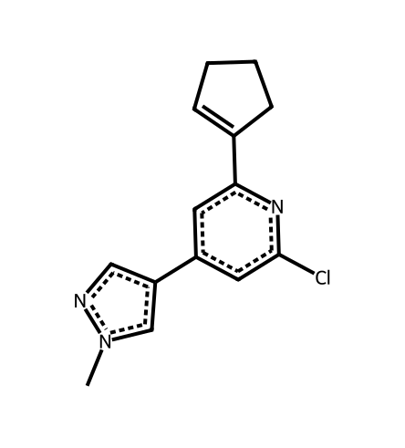 Cn1cc(-c2cc(Cl)nc(C3=CCCC3)c2)cn1